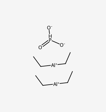 C[CH2][Al+][CH2]C.C[CH2][Al+][CH2]C.O=[PH]([O-])[O-]